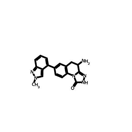 Cn1cc2c(-c3ccc4c(c3)CC(N)c3n[nH]c(=O)n3-4)cccc2n1